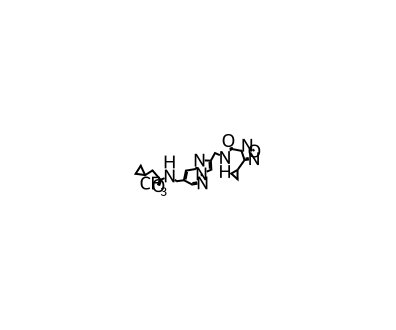 O=C(CC1(C(F)(F)F)CC1)NCc1cnn2cc(CNC(=O)c3nonc3C3CC3)nc2c1